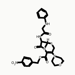 O=C(CNc1ccccc1)NC1C(=O)N2C(C(=O)OCc3ccc([N+](=O)[O-])cc3)=C(N3CCOCC3)CS[C@@H]12